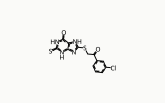 O=C(CSc1nc2[nH]c(=S)[nH]c(=O)c2[nH]1)c1cccc(Cl)c1